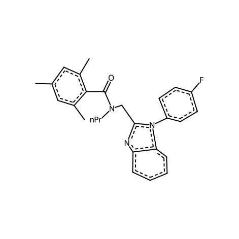 CCCN(Cc1nc2ccccc2n1-c1ccc(F)cc1)C(=O)c1c(C)cc(C)cc1C